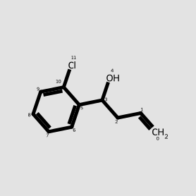 C=CCC(O)c1ccccc1Cl